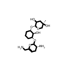 C[C@]1(O)CO[C@H](O[C@H]2CCC[C@@H](OC3OC(CN)=CC[C@H]3N)[C@@H]2O)C(O)C1